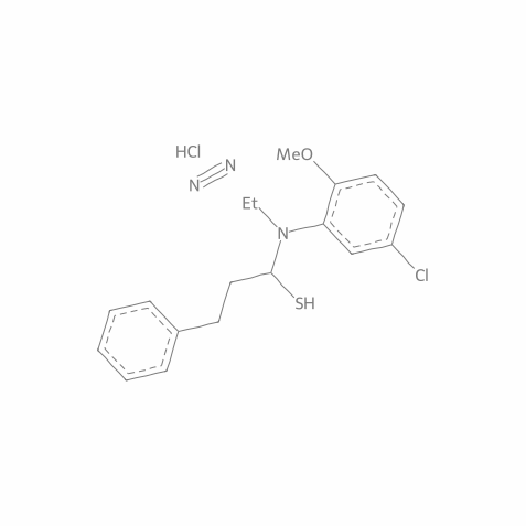 CCN(c1cc(Cl)ccc1OC)C(S)CCc1ccccc1.Cl.N#N